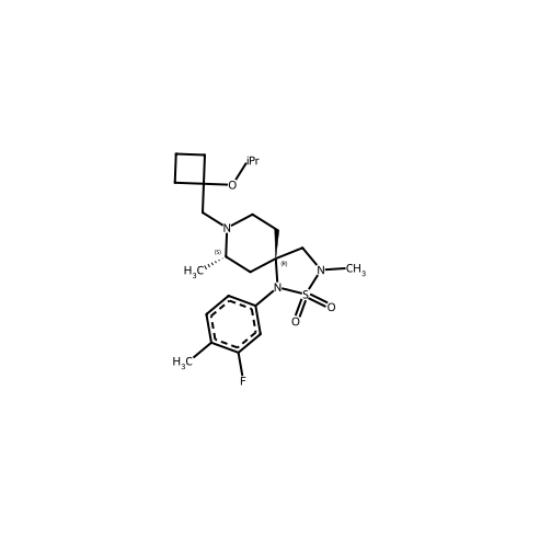 Cc1ccc(N2[C@@]3(CCN(CC4(OC(C)C)CCC4)[C@@H](C)C3)CN(C)S2(=O)=O)cc1F